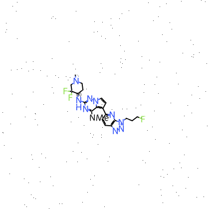 CNc1nc(N[C@@H]2CCN(C)CC2(F)F)nn2ccc(-c3ccc4nnn(CCCF)c4n3)c12